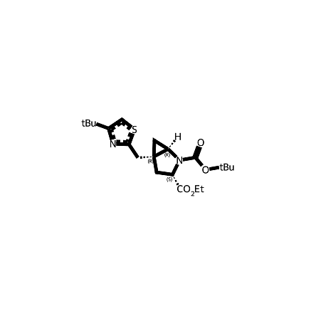 CCOC(=O)[C@@H]1C[C@@]2(Cc3nc(C(C)(C)C)cs3)C[C@H]2N1C(=O)OC(C)(C)C